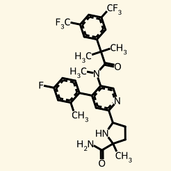 Cc1cc(F)ccc1-c1cc(C2CCC(C)(C(N)=O)N2)ncc1N(C)C(=O)C(C)(C)c1cc(C(F)(F)F)cc(C(F)(F)F)c1